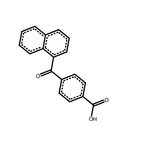 O=C(O)c1ccc(C(=O)c2cccc3ccccc23)cc1